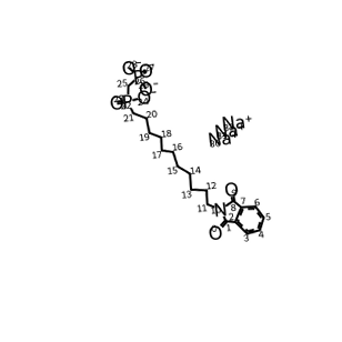 O=C1c2ccccc2C(=O)N1CCCCCCCCCCCP(=O)([O-])CP(=O)([O-])[O-].[Na+].[Na+].[Na+]